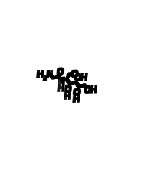 NCC(=O)N[C@H](C=O)[C@@H](O)[C@H](O)[C@H](O)CO